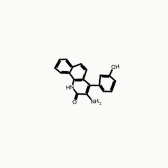 Nc1c(-c2cccc(O)c2)c2ccc3ccccc3c2[nH]c1=O